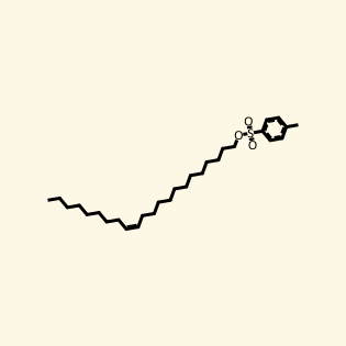 CCCCCCCC/C=C\CCCCCCCCCCCCOS(=O)(=O)c1ccc(C)cc1